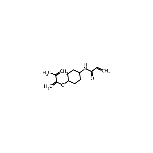 C=CC(=O)NC1CCC(OC(=C)C(=C)C)CC1